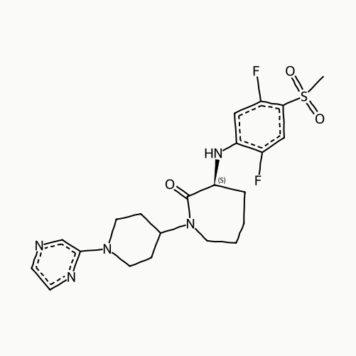 CS(=O)(=O)c1cc(F)c(N[C@H]2CCCCN(C3CCN(c4cnccn4)CC3)C2=O)cc1F